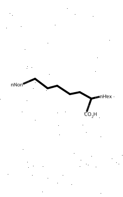 CCCCCCCCCCCCCCC(CCCCCC)C(=O)O